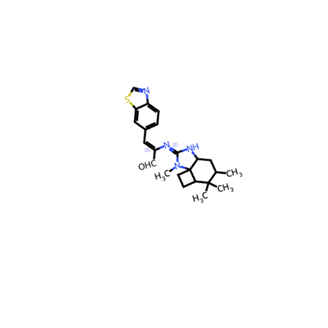 CC1CC2N/C(=N/C(C=O)=C\c3ccc4ncsc4c3)N(C)C23CCC3C1(C)C